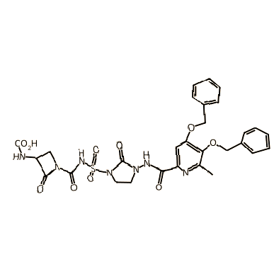 Cc1nc(C(=O)NN2CCN(S(=O)(=O)NC(=O)N3CC(NC(=O)O)C3=O)C2=O)cc(OCc2ccccc2)c1OCc1ccccc1